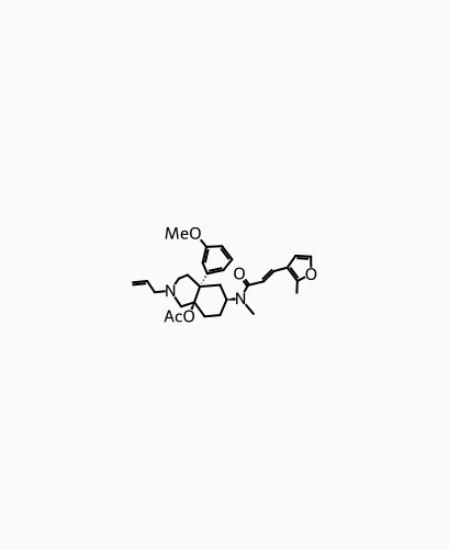 C=CCN1CC[C@@]2(c3cccc(OC)c3)C[C@@H](N(C)C(=O)/C=C/c3ccoc3C)CC[C@]2(OC(C)=O)C1